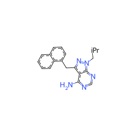 CC(C)Cn1nc(Cc2cccc3ccccc23)c2c(N)ncnc21